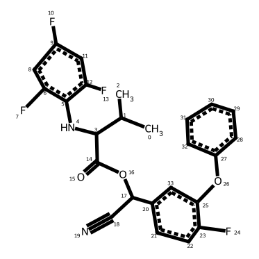 CC(C)C(Nc1c(F)cc(F)cc1F)C(=O)OC(C#N)c1ccc(F)c(Oc2ccccc2)c1